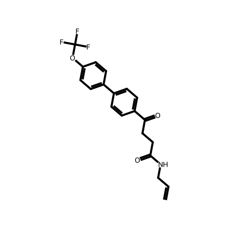 C=CCNC(=O)CCC(=O)c1ccc(-c2ccc(OC(F)(F)F)cc2)cc1